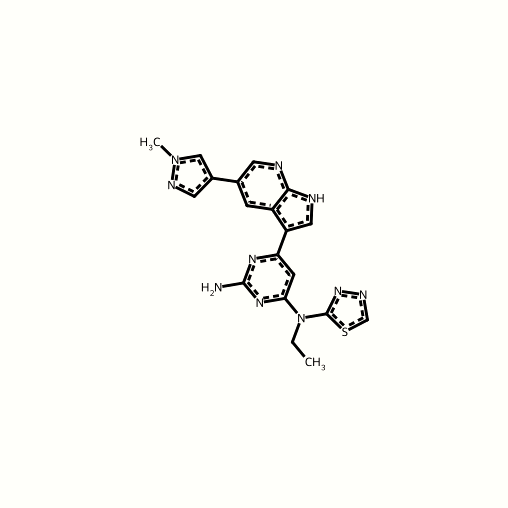 CCN(c1cc(-c2c[nH]c3ncc(-c4cnn(C)c4)cc23)nc(N)n1)c1nncs1